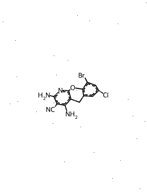 N#Cc1c(N)nc2c(c1N)Cc1cc(Cl)cc(Br)c1O2